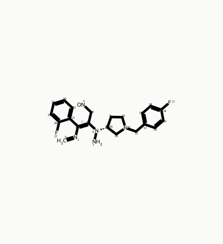 C=N/C(=C(/CN=O)N(N)[C@@H]1CCN(Cc2ccc(F)cc2)C1)c1ccccc1F